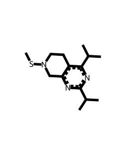 CSN1CCc2c(nc(C(C)C)nc2C(C)C)C1